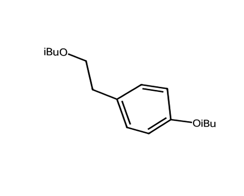 CC(C)COCCc1ccc(OCC(C)C)cc1